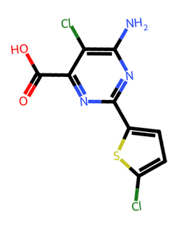 Nc1nc(-c2ccc(Cl)s2)nc(C(=O)O)c1Cl